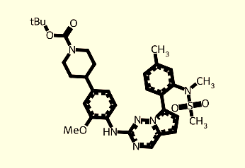 COc1cc(C2CCN(C(=O)OC(C)(C)C)CC2)ccc1Nc1ncc2ccc(-c3ccc(C)cc3N(C)S(C)(=O)=O)n2n1